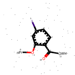 CCCOc1cc(I)ccc1C(=O)OC